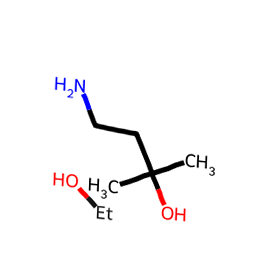 CC(C)(O)CCN.CCO